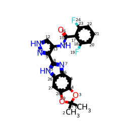 CC1(C)Oc2cc3nc(-c4n[nH]cc4NC(=O)c4c(F)cccc4F)[nH]c3cc2O1